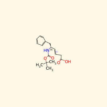 CC(C)(C)OC(=O)N[C@H](/C=C/CC(=O)O)Cc1ccccc1